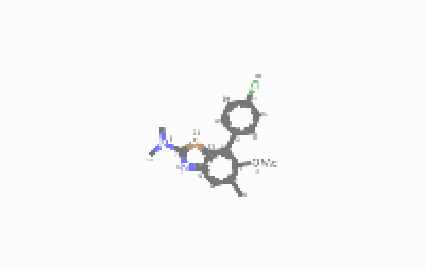 COc1c(C)cc2nc(N(C)C)sc2c1-c1ccc(Cl)cc1